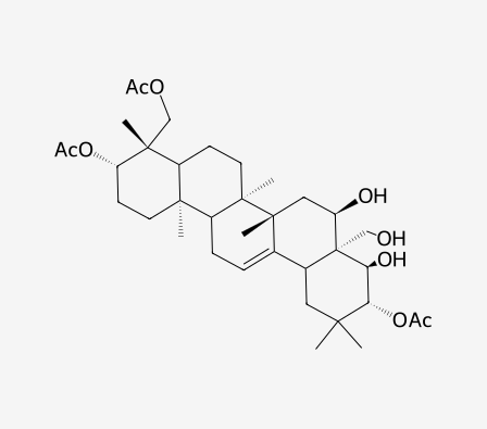 CC(=O)OC[C@]1(C)C2CC[C@]3(C)C(CC=C4C5CC(C)(C)[C@@H](OC(C)=O)[C@H](O)[C@]5(CO)[C@H](O)C[C@]43C)[C@@]2(C)CC[C@@H]1OC(C)=O